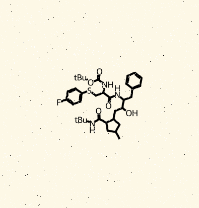 CC1CC(CC(O)C(Cc2ccccc2)NC(=O)C(CSc2ccc(F)cc2)NC(=O)OC(C)(C)C)C(C(=O)NC(C)(C)C)C1